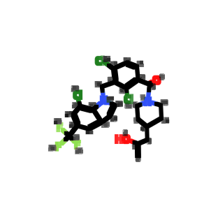 C=C(O)CC1CCN(C(=O)c2ccc(Cl)c(Cn3ccc4cc(C(F)(F)F)cc(Cl)c43)c2Cl)CC1